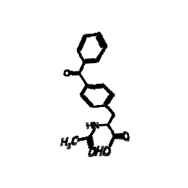 CC(=O)N[C@@H](Cc1ccc(C(=O)c2ccccc2)cc1)C(=O)O